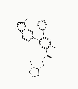 Cc1cnc2ccc(-c3nc(C(=O)NC[C@H]4CCCN4C)c(N)nc3-c3ncco3)cn12